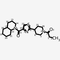 CCC(=O)N1CCC(c2nc(C(=O)N3CCCC4CCCCC43)cs2)CC1